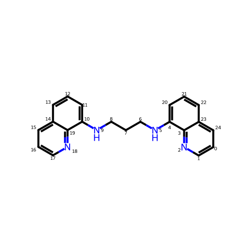 c1cnc2c(NCCCNc3cccc4cccnc34)cccc2c1